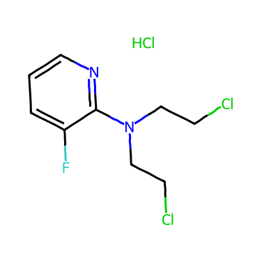 Cl.Fc1cccnc1N(CCCl)CCCl